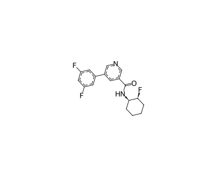 O=C(N[C@@H]1CCCC[C@@H]1F)c1cncc(-c2cc(F)cc(F)c2)c1